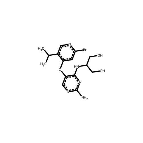 CC(C)c1cnc(Br)cc1Oc1cnc(N)nc1NC(CO)CO